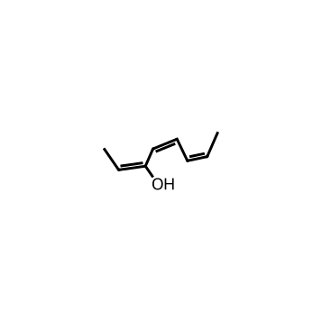 C\C=C/C=C\C(O)=C/C